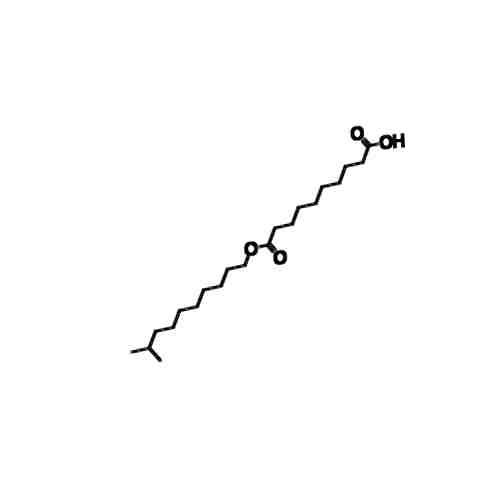 CC(C)CCCCCCCCOC(=O)CCCCCCCCC(=O)O